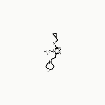 Cn1c(CCN2CCOCC2)nnc1SCC1CC1